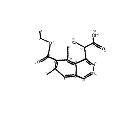 CCOC(=O)c1c(C)cc2cnnc(C(Cl)C(=O)O)c2c1C